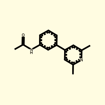 CC(=O)Nc1cccc(-c2cc(C)nc(C)c2)c1